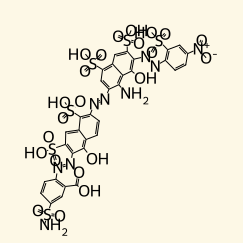 Nc1c(N=Nc2ccc3c(O)c(N=Nc4ccc(S(N)(=O)=O)cc4C(=O)O)c(S(=O)(=O)O)cc3c2S(=O)(=O)O)cc(S(=O)(=O)O)c2cc(S(=O)(=O)O)c(N=Nc3ccc([N+](=O)[O-])cc3S(=O)(=O)O)c(O)c12